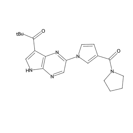 CC(C)(C)C(=O)c1c[nH]c2ncc(-n3ccc(C(=O)N4CCCC4)c3)nc12